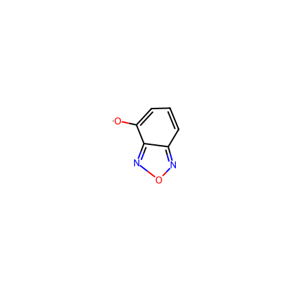 [O]c1cccc2nonc12